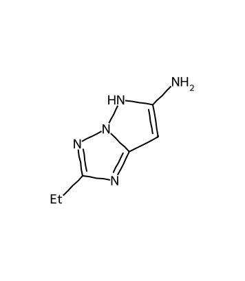 CCc1nc2cc(N)[nH]n2n1